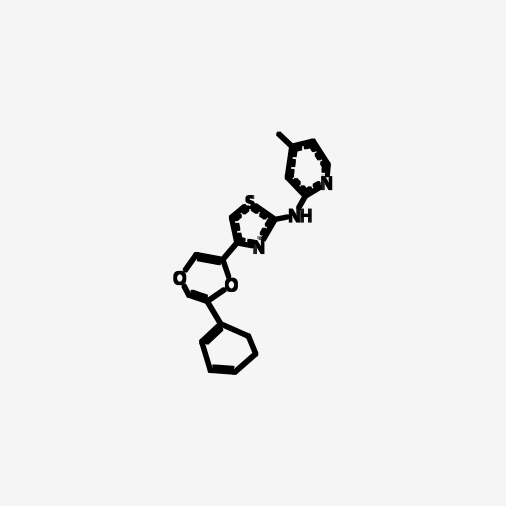 Cc1ccnc(Nc2nc(C3=COC=C(C4=CC=CCC4)O3)cs2)c1